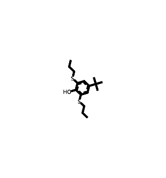 CCCSc1cc(C(C)(C)C)cc(SCCC)c1O